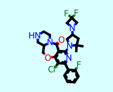 CC1(C)CC(N2CC(F)(F)C2)CN1c1nc(-c2ccccc2F)c(Cl)c2c1C(=O)N1CCNCC1CO2